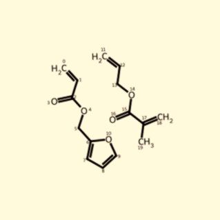 C=CC(=O)OCc1ccco1.C=CCOC(=O)C(=C)C